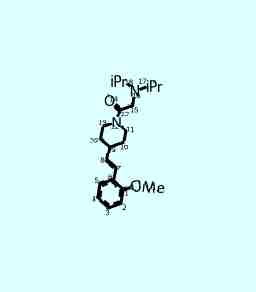 COc1ccccc1/C=C/C1CCN(C(=O)CN(C(C)C)C(C)C)CC1